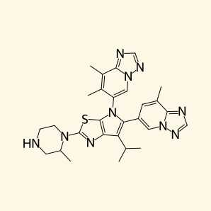 Cc1c(-n2c(-c3cc(C)c4ncnn4c3)c(C(C)C)c3nc(N4CCNCC4C)sc32)cn2ncnc2c1C